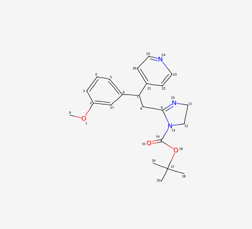 COc1cccc(C(CC2=NCCN2C(=O)OC(C)(C)C)c2ccncc2)c1